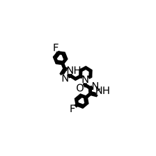 O=C(c1n[nH]cc1-c1ccc(F)cc1)N1CCCCC1Cc1ncc(-c2ccc(F)cc2)[nH]1